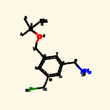 CC(C)(C)[Si](C)(C)OCc1cc(CN)cc(CF)c1